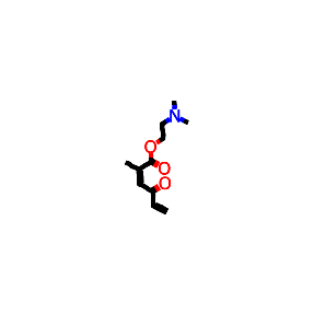 C=CC(=O)C=C(C)C(=O)OCCN(C)C